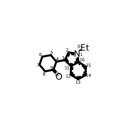 CCn1cc(C2CCCCC2=O)c2ccccc21